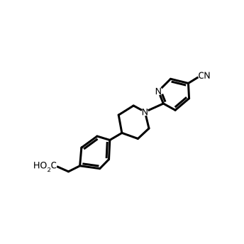 N#Cc1ccc(N2CCC(c3ccc(CC(=O)O)cc3)CC2)nc1